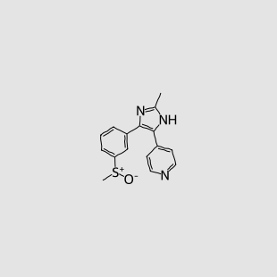 Cc1nc(-c2cccc([S+](C)[O-])c2)c(-c2ccncc2)[nH]1